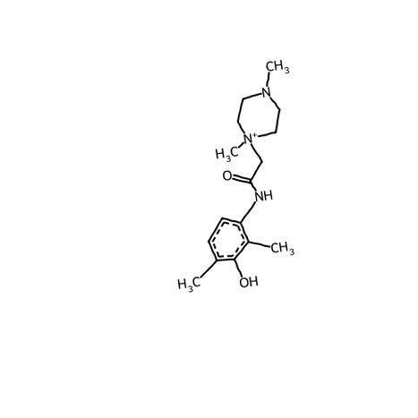 Cc1ccc(NC(=O)C[N+]2(C)CCN(C)CC2)c(C)c1O